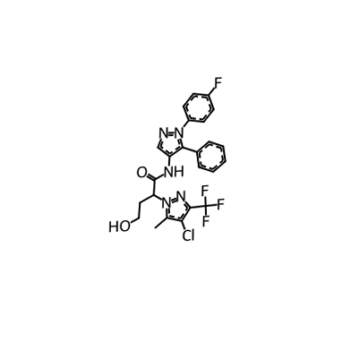 Cc1c(Cl)c(C(F)(F)F)nn1C(CCO)C(=O)Nc1cnn(-c2ccc(F)cc2)c1-c1ccccc1